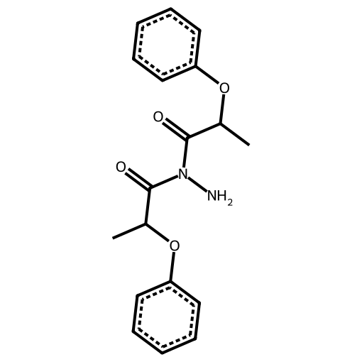 CC(Oc1ccccc1)C(=O)N(N)C(=O)C(C)Oc1ccccc1